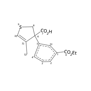 CCOC(=O)c1cccc(C2(C(=O)O)CSC=C2C)c1